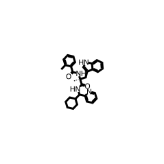 Cc1ccccc1C(=O)N[C@@](C)(Cc1c[nH]c2ccccc12)C(=O)NC(c1ccccn1)C1CCCCC1